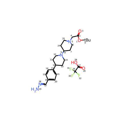 CC(C)(C)OC(=O)CN1CCC(N2CCC(c3ccc(C=NN)cc3)CC2)CC1.O=C(O)C(F)(F)F